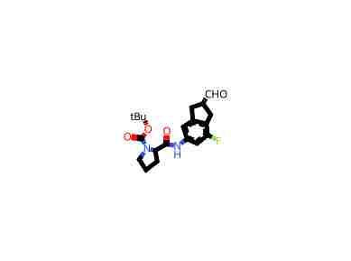 CC(C)(C)OC(=O)N1CCCC1C(=O)Nc1cc(F)c2c(c1)CC(C=O)C2